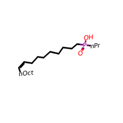 CCCCCCCC/C=C\CCCCCCCCP(=O)(O)CCC